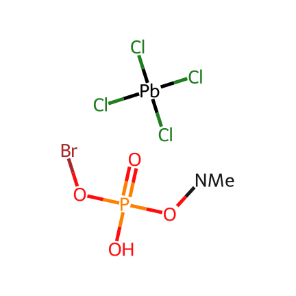 CNOP(=O)(O)OBr.[Cl][Pb]([Cl])([Cl])[Cl]